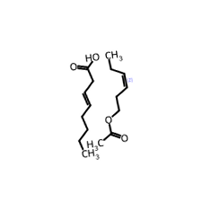 CC/C=C\CCOC(C)=O.CCCCC=CCC(=O)O